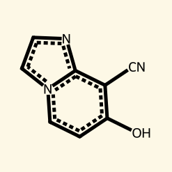 N#Cc1c(O)ccn2ccnc12